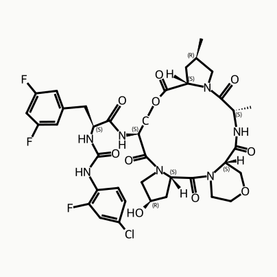 C[C@@H]1C[C@H]2C(=O)OC[C@H](NC(=O)[C@H](Cc3cc(F)cc(F)c3)NC(=O)Nc3ccc(Cl)cc3F)C(=O)N3C[C@H](O)C[C@H]3C(=O)N3CCOC[C@H]3C(=O)N[C@@H](C)C(=O)N2C1